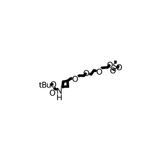 CC(C)(C)OC(=O)NC1CC(COCCOCCOCCOS(C)(=O)=O)C1